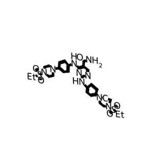 CCS(=O)(=O)N1CCN(c2ccc(Nc3ncc(C(N)=O)c(Nc4ccc(N5CCN(S(=O)(=O)CC)CC5)cc4)n3)cc2)CC1